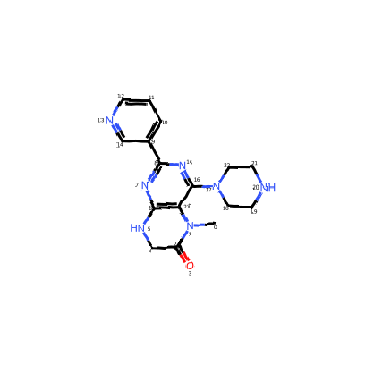 CN1C(=O)CNc2nc(-c3cccnc3)nc(N3CCNCC3)c21